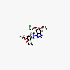 COc1cc2c(cc1OC)CN(c1ncnc3cc(OC)c(OC)cc13)CC2.Cl